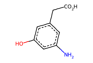 Nc1cc(O)cc(CC(=O)O)c1